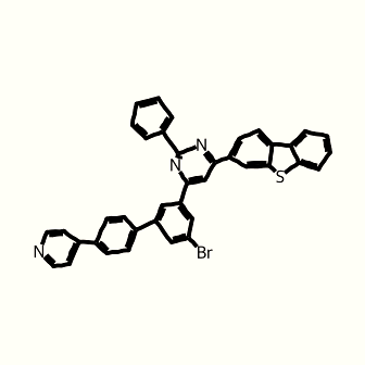 Brc1cc(-c2ccc(-c3ccncc3)cc2)cc(-c2cc(-c3ccc4c(c3)sc3ccccc34)nc(-c3ccccc3)n2)c1